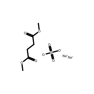 COC(=O)CCC(=O)OC.O=S(=O)([O-])[O-].[Na+].[Na+]